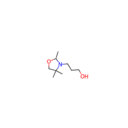 CC1OCC(C)(C)N1CCCO